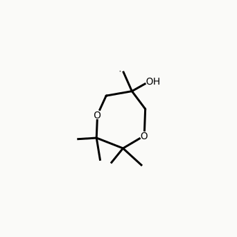 [CH2]C1(O)COC(C)(C)C(C)(C)OC1